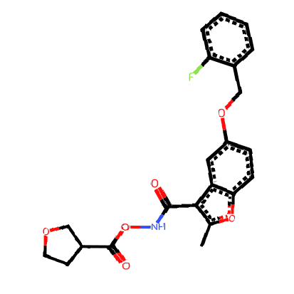 Cc1oc2ccc(OCc3ccccc3F)cc2c1C(=O)NOC(=O)C1CCOC1